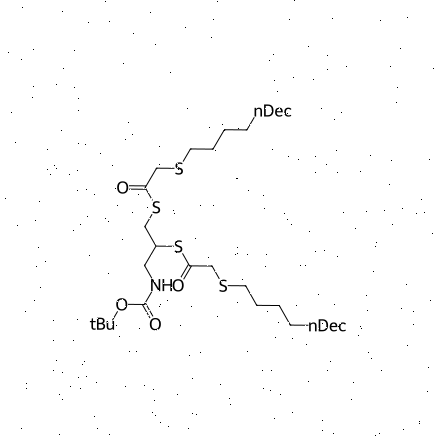 CCCCCCCCCCCCCCSCC(=O)SCC(CNC(=O)OC(C)(C)C)SC(=O)CSCCCCCCCCCCCCCC